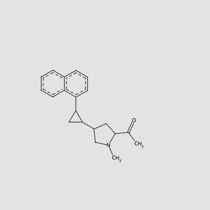 CC(=O)C1CC(C2CC2c2cccc3ccccc23)CN1C